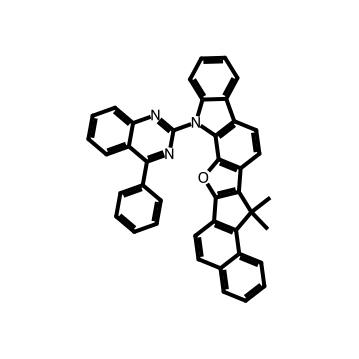 CC1(C)c2c(ccc3ccccc23)-c2oc3c(ccc4c5ccccc5n(-c5nc(-c6ccccc6)c6ccccc6n5)c43)c21